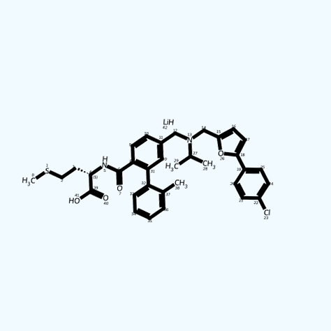 CSCC[C@H](NC(=O)c1ccc(CN(Cc2ccc(-c3ccc(Cl)cc3)o2)C(C)C)cc1-c1ccccc1C)C(=O)O.[LiH]